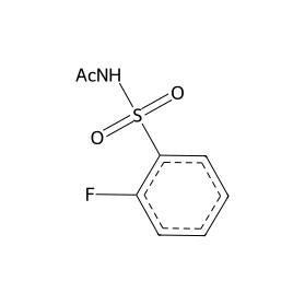 CC(=O)NS(=O)(=O)c1ccccc1F